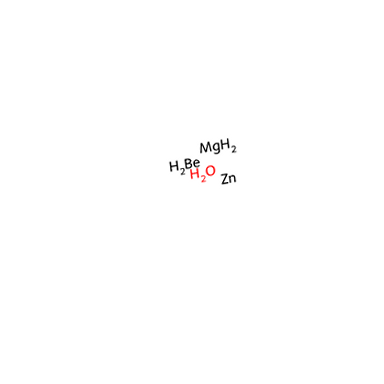 O.[BeH2].[MgH2].[Zn]